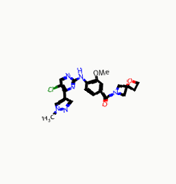 COc1cc(C(=O)N2CC3(CCO3)C2)ccc1Nc1ncc(Cl)c(-c2cnn(C)c2)n1